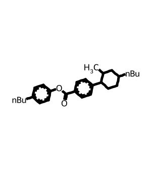 CCCCc1ccc(OC(=O)c2ccc(C3CCC(CCCC)CC3C)cc2)cc1